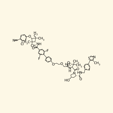 Cc1ncsc1-c1ccc(CNC(=O)[C@@H]2C[C@@H](O)CN2C(=O)C(NC(=O)COCCOc2ccc(-c3c(F)cc(C(=O)N[C@H]4C(C)(C)[C@H](Oc5ccc(C#N)c(Cl)c5)C4(C)C)cc3F)cc2)C(C)(C)C)cc1